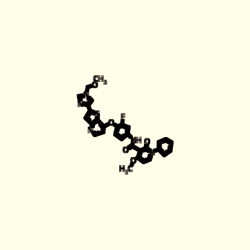 COCn1cnc(-c2cc3nccc(Oc4ccc(NC(=O)c5c(OC)ccn(-c6ccccc6)c5=O)cc4F)c3s2)c1